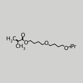 C=C(C)C(=O)OCCCCOCCCCOC(C)C